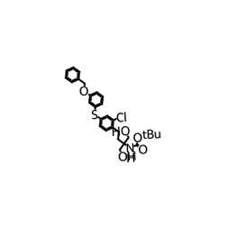 CC(C)(C)OC(=O)NC(CO)(CO)CCc1ccc(Sc2cccc(OCc3ccccc3)c2)cc1Cl